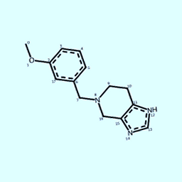 COc1cccc(CN2CCc3[nH]cnc3C2)c1